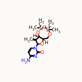 C=C1C(n2ccc(N)nc2=O)O[C@@H]2CO[Si](C)(C)O[Si](C)(C)O[C@@H]12